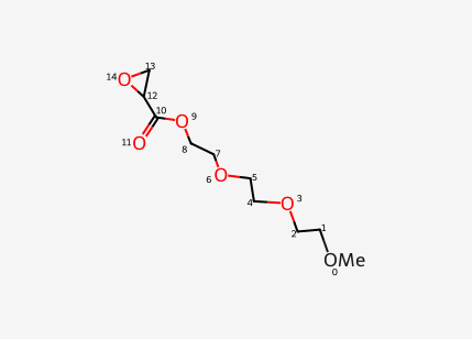 COCCOCCOCCOC(=O)C1CO1